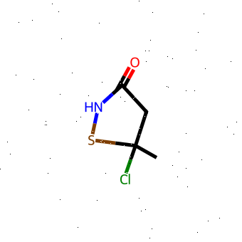 CC1(Cl)CC(=O)NS1